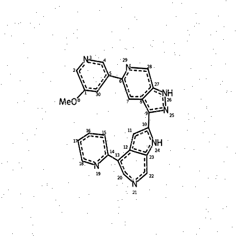 COc1cncc(-c2cc3c(-c4cc5c(-c6ccccn6)cncc5[nH]4)n[nH]c3cn2)c1